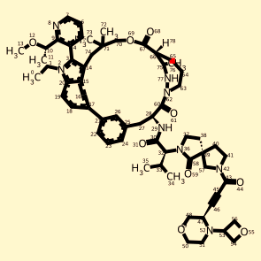 CCn1c(-c2cccnc2[C@H](C)OC)c2c3cc(ccc31)-c1cccc(c1)C[C@H](NC(=O)[C@H](C(C)C)N1CC[C@@]3(CCN(C(=O)C#C[C@@H]4COCCN4C4COC4)C3)C1=O)C(=O)N1CCC[C@@H](C(=O)OCC(C)(C)C2)C(C)N1